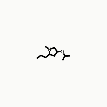 CCCC1CC(OC(C)C)CN1C